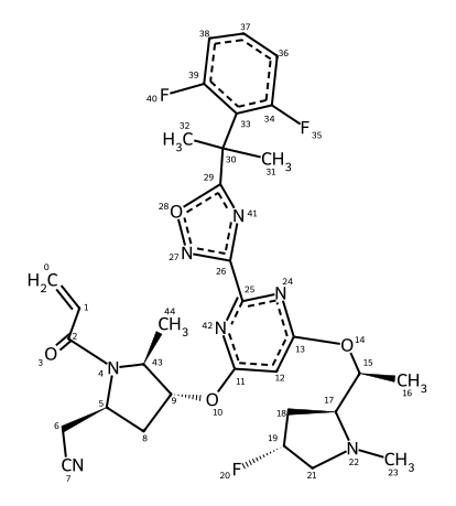 C=CC(=O)N1[C@H](CC#N)C[C@@H](Oc2cc(O[C@@H](C)[C@@H]3C[C@@H](F)CN3C)nc(-c3noc(C(C)(C)c4c(F)cccc4F)n3)n2)[C@@H]1C